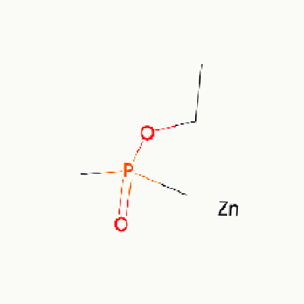 CCOP(C)(C)=O.[Zn]